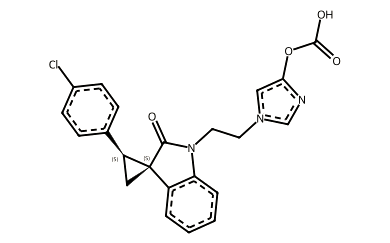 O=C(O)Oc1cn(CCN2C(=O)[C@]3(C[C@H]3c3ccc(Cl)cc3)c3ccccc32)cn1